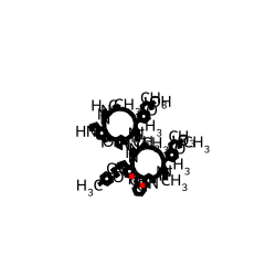 COC(=O)[C@H](C)Cc1cccc([C@@]2(C)CCCCC(C)(C)c3cn(nn3)Cc3c(c(F)cc4c3ccn4S(=O)(=O)c3ccc(C)cc3)C(OC3CCCCO3)c3ccnc(c3)-c3nc2nn3C)c1.C[C@H](Cc1cccc([C@@]2(C)CCCCC(C)(C)c3cn(nn3)Cc3c(c(F)cc4[nH]ccc34)C(=O)c3ccnc(c3)-c3nc2nn3C)c1)C(=O)O